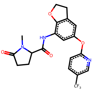 CN1C(=O)CCC1C(=O)Nc1cc(Oc2ccc(C(F)(F)F)cn2)cc2c1OCC2